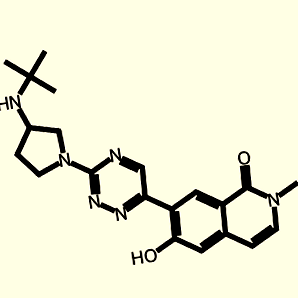 Cn1ccc2cc(O)c(-c3cnc(N4CCC(NC(C)(C)C)C4)nn3)cc2c1=O